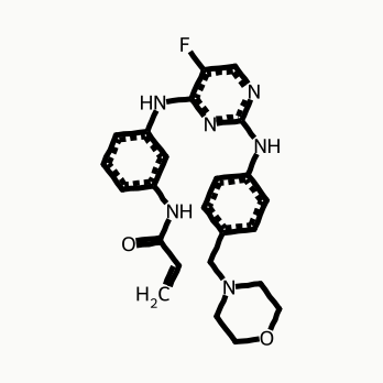 C=CC(=O)Nc1cccc(Nc2nc(Nc3ccc(CN4CCOCC4)cc3)ncc2F)c1